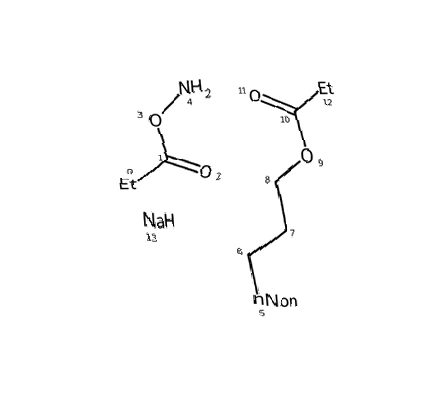 CCC(=O)ON.CCCCCCCCCCCCOC(=O)CC.[NaH]